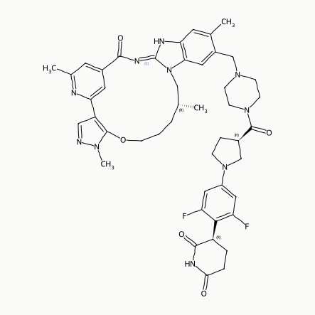 Cc1cc2cc(n1)-c1cnn(C)c1OCCC[C@@H](C)CN1/C(=N/C2=O)Nc2cc(C)c(CN3CCN(C(=O)[C@@H]4CCN(c5cc(F)c([C@H]6CCC(=O)NC6=O)c(F)c5)C4)CC3)cc21